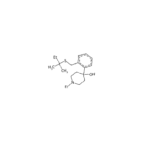 CCN1CCC(O)(c2ccccc2CSC(C)(C)CC)CC1